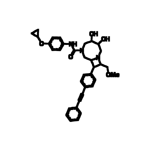 COCC1C(c2ccc(C#Cc3ccccc3)cc2)C2CN(C(=O)Nc3ccc(OC4CC4)cc3)CC(O)C(O)CN12